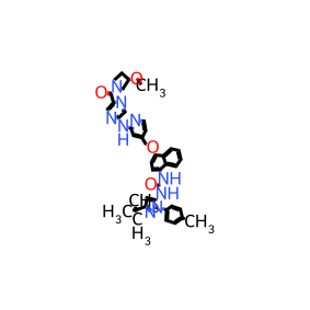 COC1CCN(C(=O)c2cnc(Nc3cc(COc4ccc(NC(=O)Nc5cc(C(C)(C)C)nn5-c5ccc(C)cc5)c5ccccc45)ccn3)cn2)C1